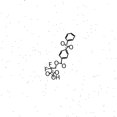 O=C(OCC(F)(F)S(=O)(=O)O)c1ccc(S(=O)(=O)c2ccccc2)cc1